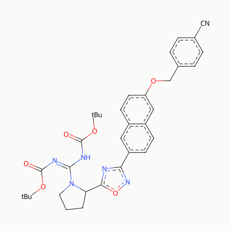 CC(C)(C)OC(=O)N=C(NC(=O)OC(C)(C)C)N1CCCC1c1nc(-c2ccc3cc(OCc4ccc(C#N)cc4)ccc3c2)no1